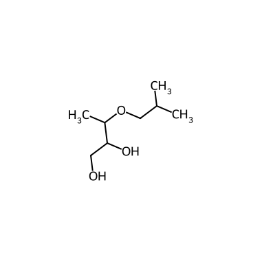 CC(C)COC(C)C(O)CO